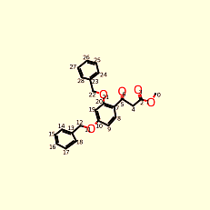 COC(=O)CC(=O)c1ccc(OCc2ccccc2)cc1OCc1ccccc1